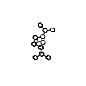 c1ccc(-c2cc(-c3ccccc3)cc(-c3cccc(-c4cccc5c6cccc(-c7cccc(-c8cc(-c9ccccc9)cc(-c9ccccc9)c8)c7)c6n(-c6ccccc6)c45)c3)c2)cc1